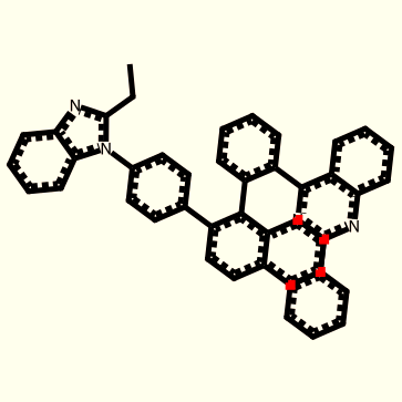 CCc1nc2ccccc2n1-c1ccc(-c2ccc3ccccc3c2-c2ccccc2-c2nc(-c3ccccc3)nc3ccccc23)cc1